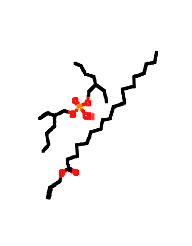 C=CCOC(=O)CCCCCCCCCCCCCCCCC.CCCCC(CC)COP(=O)(O)OCC(CC)CCCC